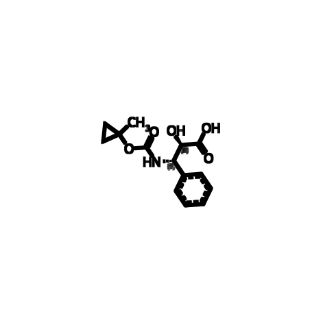 CC1(OC(=O)N[C@@H](c2ccccc2)[C@@H](O)C(=O)O)CC1